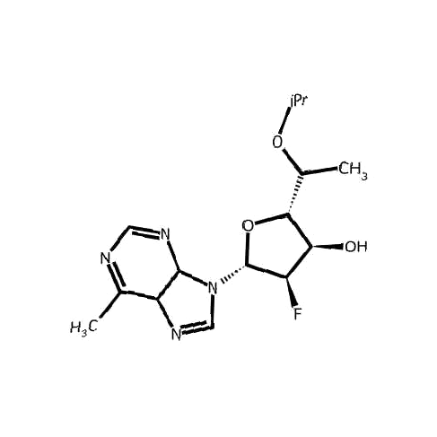 CC1=NC=NC2C1N=CN2[C@@H]1O[C@H](C(C)OC(C)C)[C@@H](O)[C@H]1F